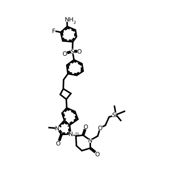 Cn1c(=O)n([C@H]2CCC(=O)N(COCC[Si](C)(C)C)C2=O)c2ccc(C3CC(Cc4cccc(S(=O)(=O)c5ccc(N)c(F)c5)c4)C3)cc21